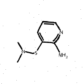 CN(C)Sc1cccnc1N